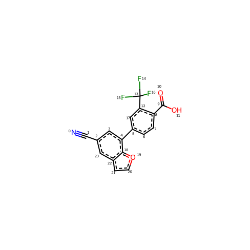 N#Cc1cc(-c2ccc(C(=O)O)c(C(F)(F)F)c2)c2occc2c1